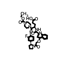 CCOC(=O)N1CCN(C(=O)C(CCC(=O)O)NC(=O)c2cc(OCC(=O)N3CCC[C@H]3c3ccc(F)c(F)c3)c3ccccc3n2)CC1